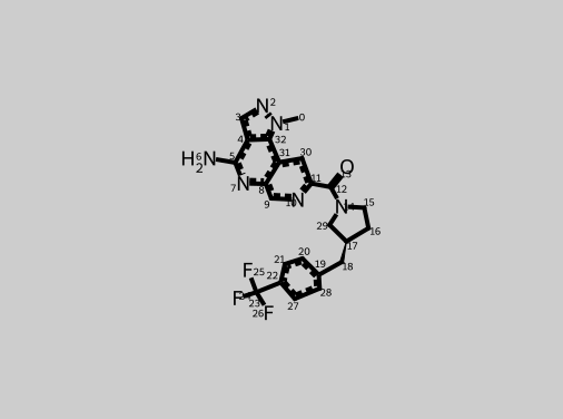 Cn1ncc2c(N)nc3cnc(C(=O)N4CC[C@@H](Cc5ccc(C(F)(F)F)cc5)C4)cc3c21